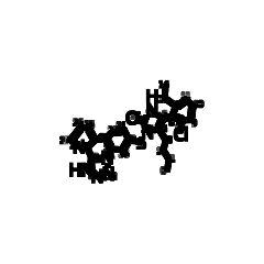 CCCCc1c(-c2c(Cl)cccc2CC)[nH]c(=O)n1Cc1ccc(-c2cccnc2-c2nnn[nH]2)cc1